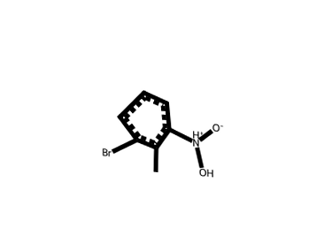 Cc1c(Br)cccc1[NH+]([O-])O